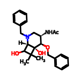 CC(=O)N[C@H]1CN(Cc2ccccc2)[C@@H]2C(O)C(C)(C)[C@]2(O)[C@@H]1OCc1ccccc1